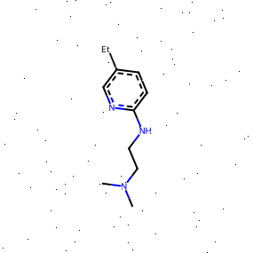 CCc1ccc(NCCN(C)C)nc1